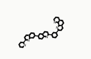 c1ccc(-c2ccc3ccc(-c4ccc5nc(-c6cccc(-c7ccc8ccc9cccnc9c8n7)c6)ccc5c4)cc3n2)nc1